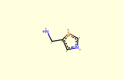 [NH]Cc1cncs1